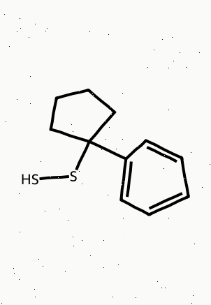 SSC1(c2ccccc2)CCCC1